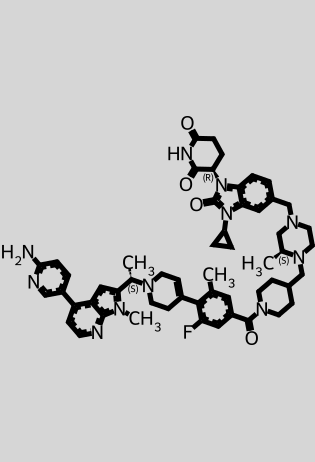 Cc1cc(C(=O)N2CCC(CN3CCN(Cc4ccc5c(c4)n(C4CC4)c(=O)n5[C@@H]4CCC(=O)NC4=O)C[C@@H]3C)CC2)cc(F)c1C1=CCN([C@@H](C)c2cc3c(-c4ccc(N)nc4)ccnc3n2C)CC1